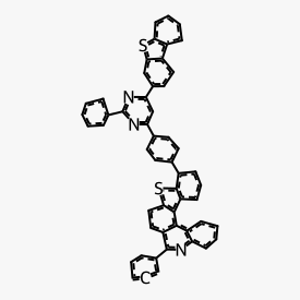 c1ccc(-c2nc(-c3ccc(-c4cccc5c4sc4ccc6c(-c7ccccc7)nc7ccccc7c6c45)cc3)cc(-c3ccc4c(c3)sc3ccccc34)n2)cc1